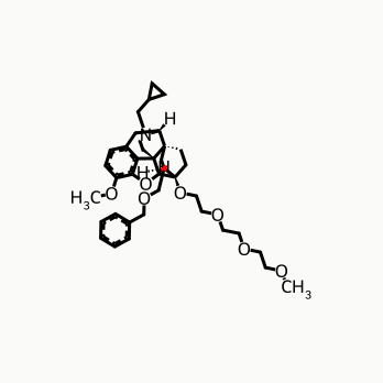 COCCOCCOCCO[C@]12CC[C@@]3(C[C@@H]1COCc1ccccc1)[C@H]1Cc4ccc(OC)c5c4[C@@]3(CCN1CC1CC1)[C@H]2O5